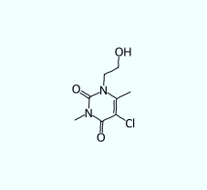 Cc1c(Cl)c(=O)n(C)c(=O)n1CCO